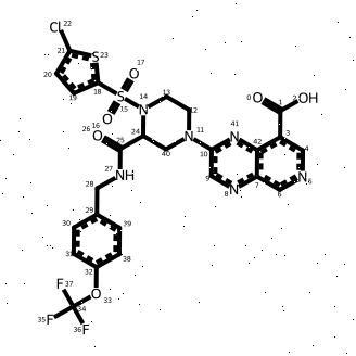 O=C(O)c1cncc2ncc(N3CCN(S(=O)(=O)c4ccc(Cl)s4)C(C(=O)NCc4ccc(OC(F)(F)F)cc4)C3)nc12